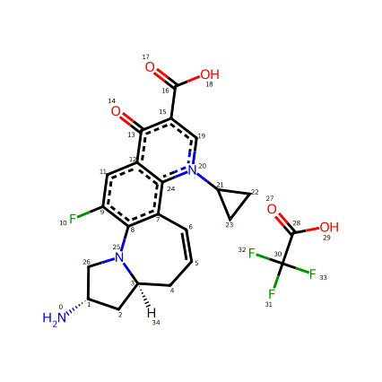 N[C@H]1C[C@@H]2CC=Cc3c(c(F)cc4c(=O)c(C(=O)O)cn(C5CC5)c34)N2C1.O=C(O)C(F)(F)F